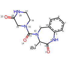 CCC(C)C1C(=O)Nc2ccccc2CN1C(=O)N1CCNC(=O)C1